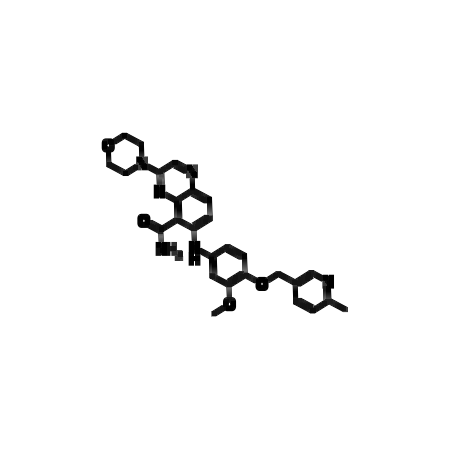 COc1cc(Nc2ccc3ncc(N4CCOCC4)nc3c2C(N)=O)ccc1OCc1ccc(C)nc1